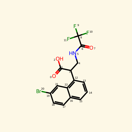 O=C(O)C(CNC(=O)C(F)(F)F)c1cccc2ccc(Br)cc12